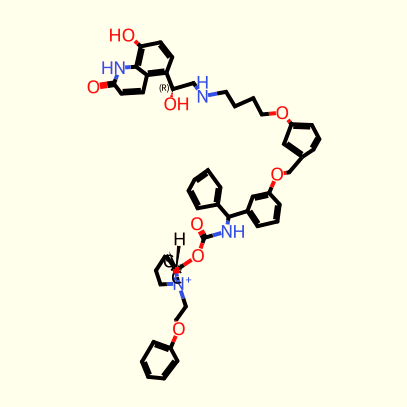 O=C(NC(c1ccccc1)c1cccc(OCc2cccc(OCCCCNC[C@H](O)c3ccc(O)c4[nH]c(=O)ccc34)c2)c1)O[C@H]1C[N+]2(CCOc3ccccc3)CCC1CC2